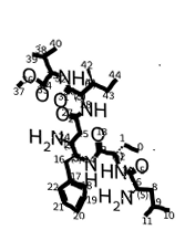 CC[C@H](NC(=O)[C@@H](N)CC(C)C)C(=O)N[C@@H](Cc1ccccc1)[C@@H](N)CC(=O)N[C@H](C(=O)NC(C(=O)OC)C(C)C)[C@@H](C)CC